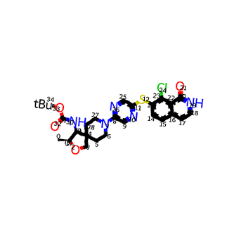 C[C@@H]1OCC2(CCN(c3cnc(Sc4ccc5cc[nH]c(=O)c5c4Cl)cn3)CC2)[C@@H]1NC(=O)OC(C)(C)C